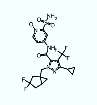 NS(=O)(=O)c1cc(NC(=O)c2c(C(F)(F)F)c(C3CC3)nn2CC23CC2CC(F)(F)C3)cc[n+]1[O-]